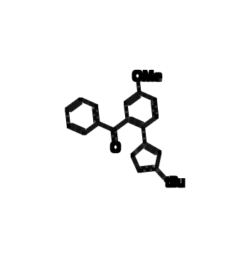 COc1ccc(C2=CC(C(C)(C)C)=CC2)c(C(=O)c2ccccc2)c1